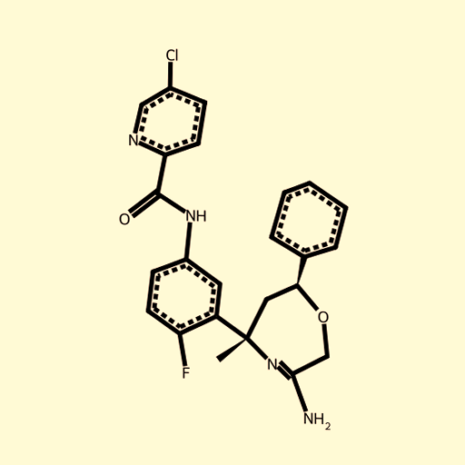 C[C@@]1(c2cc(NC(=O)c3ccc(Cl)cn3)ccc2F)C[C@@H](c2ccccc2)OCC(N)=N1